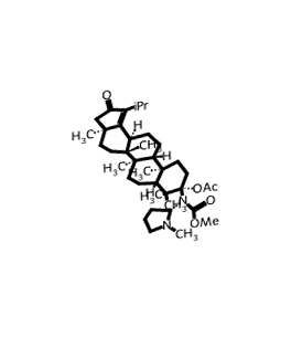 COC(=O)N([C@H]1CCCN1C)[C@]1(OC(C)=O)CC[C@]2(C)[C@H]3CC[C@@H]4C5=C(C(C)C)C(=O)C[C@]5(C)CC[C@@]4(C)[C@]3(C)CC[C@H]2C1(C)C